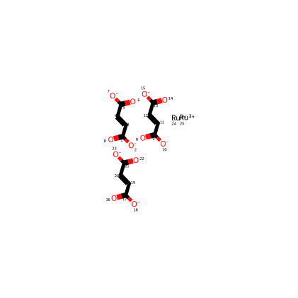 O=C([O-])C=CC(=O)[O-].O=C([O-])C=CC(=O)[O-].O=C([O-])C=CC(=O)[O-].[Ru+3].[Ru+3]